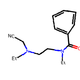 CCN(CC#N)CCN(CC)C(=O)c1ccccc1